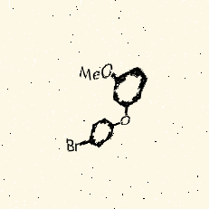 COc1cccc(Oc2ccc(Br)cc2)c1